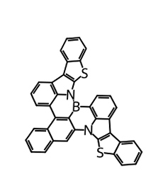 c1ccc2c3c4c(cc2c1)-n1c2sc5ccccc5c2c2cccc(c21)B4n1c2sc4ccccc4c2c2cccc-3c21